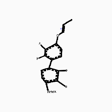 C/C=C/Oc1ccc(-c2ccc(CCCCCC)c(F)c2F)c(F)c1F